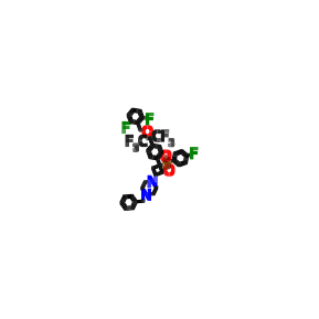 O=S(=O)(c1ccc(F)cc1)C1(c2ccc(C(OCc3c(F)cccc3F)(C(F)(F)F)C(F)(F)F)cc2)CC(N2CCN(Cc3ccccc3)CC2)C1